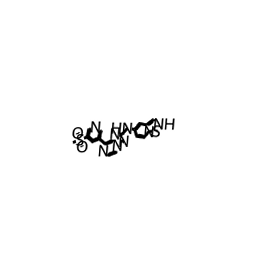 CS(=O)(=O)c1cncc(-c2nccn3nc(NC4=CC5=CNSN5C=C4)nc23)c1